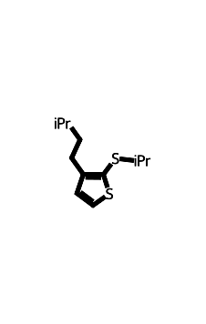 CC(C)CCc1ccsc1SC(C)C